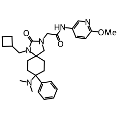 COc1ccc(NC(=O)CN2CC3(CCC(c4ccccc4)(N(C)C)CC3)N(CC3CCC3)C2=O)cn1